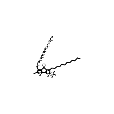 C=C=C=C=C=C=C=C=C=C=C=Cc1c(C)sc2c1C(=O)c1c-2sc([Si](C)(C)C)c1CCCCCCCCCCCC